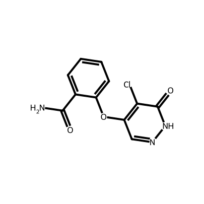 NC(=O)c1ccccc1Oc1cn[nH]c(=O)c1Cl